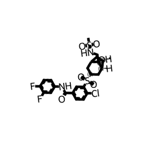 C[C@H]1CC2C[C@@H](S(=O)(=O)c3cc(C(=O)Nc4ccc(F)c(F)c4)ccc3Cl)C[C@H]1[C@@]2(O)CNS(C)(=O)=O